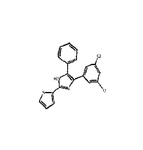 Clc1cc(Cl)cc(-c2nc(-c3cccs3)[nH]c2-c2ccccc2)c1